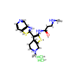 CCC(C)NCCC(=O)Nc1sc2c(c1-c1nc3cnccc3s1)CCN(C(C)C)C2.Cl.Cl